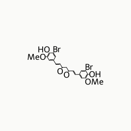 COc1cc(/C=C/C(=O)CC(=O)/C=C/c2cc(Br)c(O)c(OC)c2)cc(Br)c1O